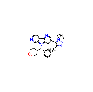 Cc1nnn(C)c1-c1cnc2c3ccncc3n([C@H](c3ccccc3)C3CCOCC3)c2c1